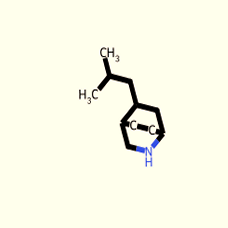 CC(C)CC1CC2CCC1CN2